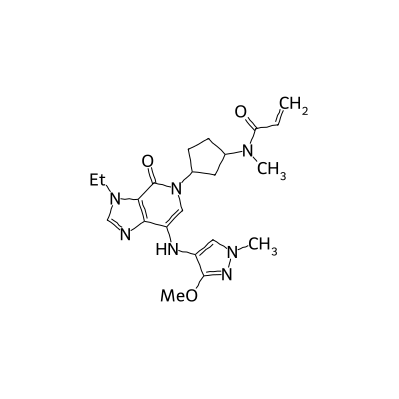 C=CC(=O)N(C)C1CCC(n2cc(Nc3cn(C)nc3OC)c3ncn(CC)c3c2=O)C1